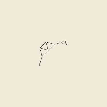 CC1C2C3C(I)C123